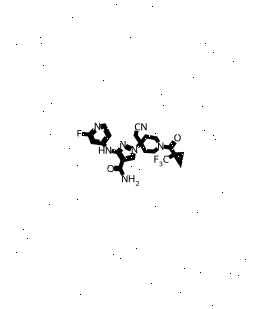 N#CCC1(n2cc(C(N)=O)c(Nc3ccnc(F)c3)n2)CCN(C(=O)C2(C(F)(F)F)CC2)CC1